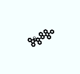 c1ccc(-c2c3ccccc3c(-c3ccc(-c4cc5oc6c7ccccc7c7ccccc7c6c5c5ccccc45)c4ccccc34)c3ccccc23)cc1